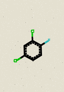 Fc1c[c]c(Cl)cc1Cl